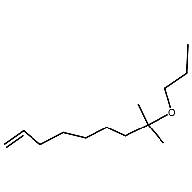 C=CCCCCCC(C)(C)OCCC